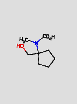 CN(C(=O)O)C1(CO)CCCC1